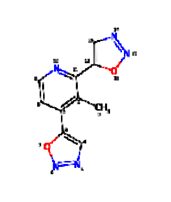 Cc1c(-c2cnno2)ccnc1-c1cnno1